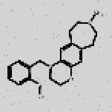 COc1ccccc1CN1CCOc2cc3c(cc21)CCN(N)CC3